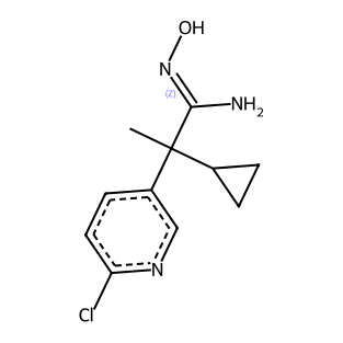 CC(/C(N)=N/O)(c1ccc(Cl)nc1)C1CC1